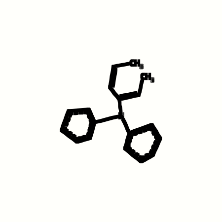 C/C=C\C(=C/C)N(c1ccccc1)c1ccccc1